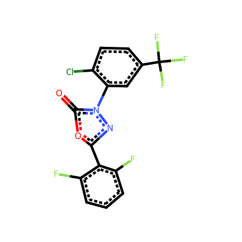 O=c1oc(-c2c(F)cccc2F)nn1-c1cc(C(F)(F)F)ccc1Cl